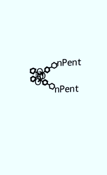 CCCCCC1CCC(c2ccc(C(=O)O[C@@H](c3ccccc3)[C@@H](OC(=O)c3ccc(C4CCC(CCCCC)CC4)cc3)c3ccccc3)cc2)CC1